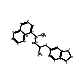 CC(Cc1ccc2c(c1)OCO2)N[C@@H](C)c1cccc2ccccc12